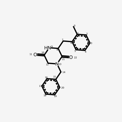 Cc1ccccc1CC1NC(=O)CN(Cc2ccccc2)C1=O